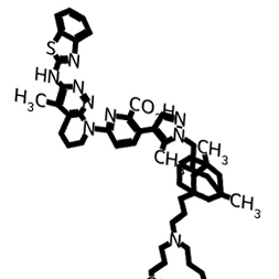 Cc1c(Nc2nc3ccccc3s2)nnc2c1CCCN2c1ccc(-c2cnn(CC3CC4(C)CC5(C)CC3CC(CCCN(CCCO)CCCO)(C4)C5)c2C)c(C(=O)O)n1